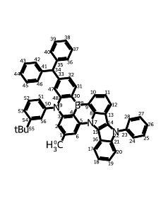 Cc1cc2c3c(c1)-n1c4c(cccc4c4c1c1ccccc1n4-c1ccccc1)B3c1ccc(C(c3ccccc3)c3ccccc3)cc1N2c1cccc(C(C)(C)C)c1